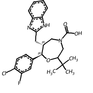 CC(C)(C)C1CN(C(=O)O)C[C@@H](Cc2nc3ccccc3[nH]2)[C@H](c2ccc(Cl)c(F)c2)O1